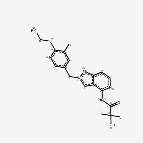 Cc1cc(Cn2cc3c(NC(=O)C(C)(C)O)nccc3n2)cnc1OCC(F)(F)F